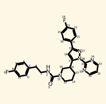 O=C(NCCc1ccc(F)cc1)N1CCCC(c2cc(-c3ccc(F)cc3)nn2-c2ncccn2)C1